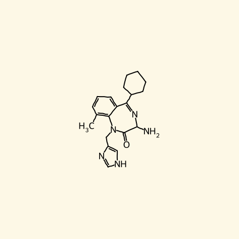 Cc1cccc2c1N(Cc1c[nH]cn1)C(=O)C(N)N=C2C1CCCCC1